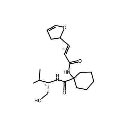 CC(C)[C@@H](CO)NC(=O)C1(NC(=O)/C=C/C2CC=CO2)CCCCC1